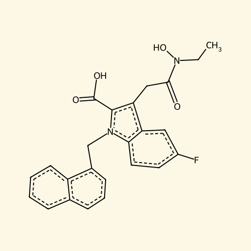 CCN(O)C(=O)Cc1c(C(=O)O)n(Cc2cccc3ccccc23)c2ccc(F)cc12